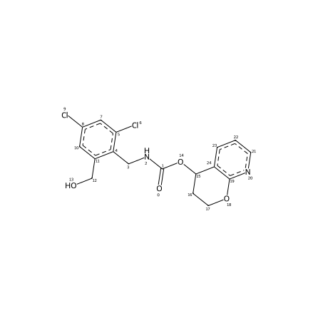 O=C(NCc1c(Cl)cc(Cl)cc1CO)OC1CCOc2ncccc21